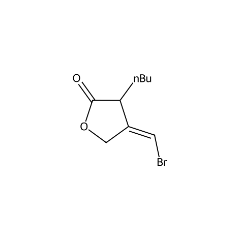 CCCCC1C(=O)OCC1=CBr